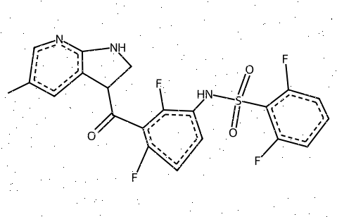 Cc1cnc2c(c1)C(C(=O)c1c(F)ccc(NS(=O)(=O)c3c(F)cccc3F)c1F)CN2